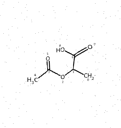 [CH2]C(OC(C)=O)C(=O)O